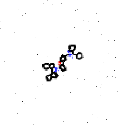 c1ccc(-c2nc(-c3ccc4oc5c(-n6c7ccc8ccccc8c7c7c8ccccc8ccc76)cccc5c4c3)nc3ccccc23)cc1